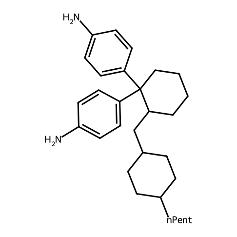 CCCCCC1CCC(CC2CCCCC2(c2ccc(N)cc2)c2ccc(N)cc2)CC1